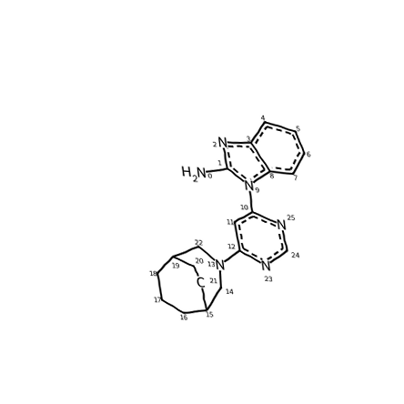 Nc1nc2ccccc2n1-c1cc(N2CC3CCCC(CC3)C2)ncn1